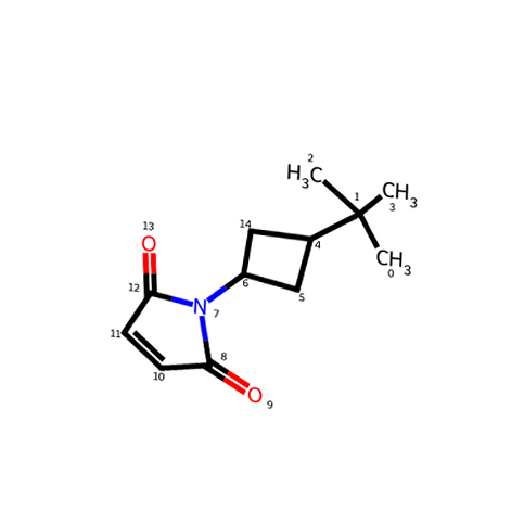 CC(C)(C)C1CC(N2C(=O)C=CC2=O)C1